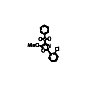 COc1oc(-c2ccccc2Cl)nc1S(=O)(=O)c1ccccc1